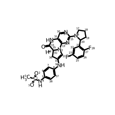 CS(=O)(=O)Nc1ccc(NC2=CN3c4nc(N5CCCC5c5cc(F)ccc5F)ncc4NC(=O)[C@@H]3C2)cc1